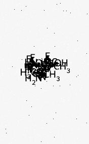 COc1ccc(-c2ccc(C#CC(C)(C)O)nc2[C@H](Cc2cc(F)cc(F)c2)NC(=O)Cn2nc(C(F)F)c3c2C(F)(F)[C@@H]2CC[C@H]32)c2c1c(N)nn2C